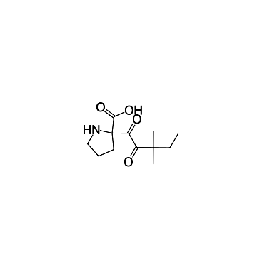 CCC(C)(C)C(=O)C(=O)C1(C(=O)O)CCCN1